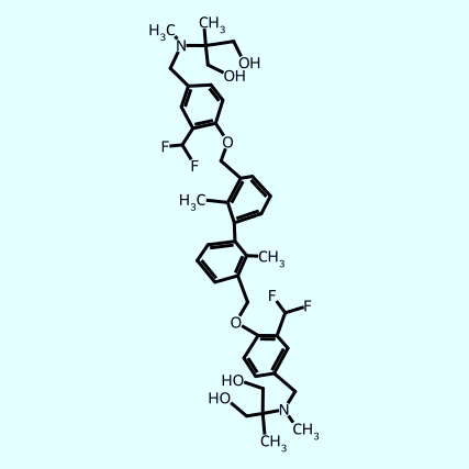 Cc1c(COc2ccc(CN(C)C(C)(CO)CO)cc2C(F)F)cccc1-c1cccc(COc2ccc(CN(C)C(C)(CO)CO)cc2C(F)F)c1C